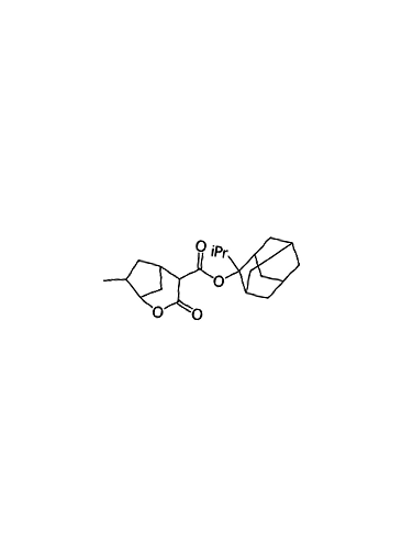 CC1CC2CC1OC(=O)C2C(=O)OC1(C(C)C)C2CC3CC(C2)CC1C3